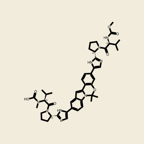 COC(=O)N[C@H](C(=O)N1CCC[C@H]1c1ncc(-c2ccc3c(c2)OC(C)(C)n2c-3cc3cc(-c4cnc([C@@H]5CCCN5C(=O)[C@H](C(C)C)N(C)C(=O)O)[nH]4)ccc32)[nH]1)C(C)C